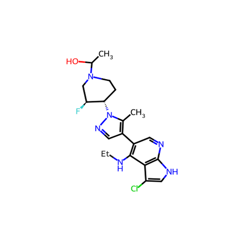 CCNc1c(-c2cnn([C@H]3CCN(C(C)O)C[C@@H]3F)c2C)cnc2[nH]cc(Cl)c12